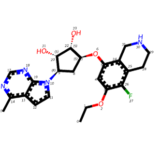 CCOc1cc(O[C@H]2C[C@@H](n3ccc4c(C)ncnc43)[C@H](O)[C@@H]2O)c2c(c1F)CCNC2